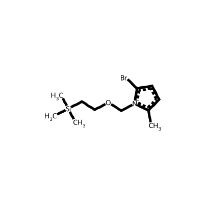 Cc1ccc(Br)n1COCC[Si](C)(C)C